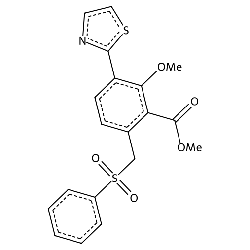 COC(=O)c1c(CS(=O)(=O)c2ccccc2)ccc(-c2nccs2)c1OC